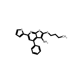 CCCCSc1sc2nc(-c3cccs3)cc(-c3ccccc3)c2c1N